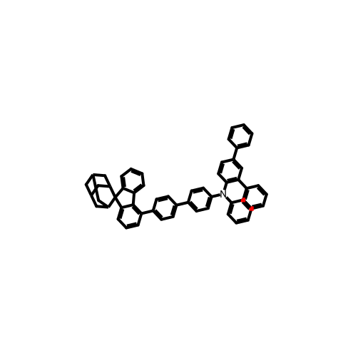 c1ccc(-c2ccc(N(c3ccccc3)c3ccc(-c4ccc(-c5cccc6c5-c5ccccc5C65C6CC7CC(C6)CC5C7)cc4)cc3)c(-c3ccccc3)c2)cc1